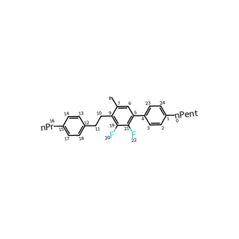 CCCCCc1ccc(-c2cc(C)c(CCc3ccc(CCC)cc3)c(F)c2F)cc1